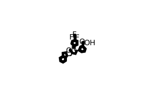 O=C(O)c1cccc([C@H]2C[C@@H](C[C@@H]3CCc4ccccc43)C(=O)N2c2ccc(C(F)(F)F)cc2)c1